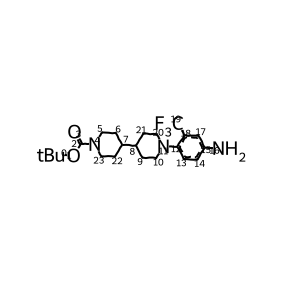 CC(C)(C)OC(=O)N1CCC(C2CCN(c3ccc(N)cc3C(F)(F)F)CC2)CC1